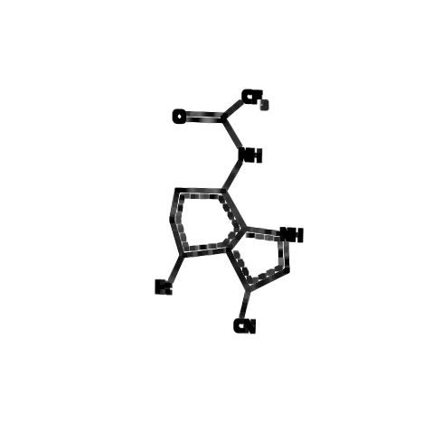 CCc1ccc(NC(=O)C(F)(F)F)c2[nH]cc(C#N)c12